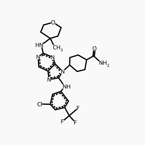 CC1(Nc2ncc3nc(Nc4cc(Cl)cc(C(F)(F)F)c4)n(C4CCC(C(N)=O)CC4)c3n2)CCOCC1